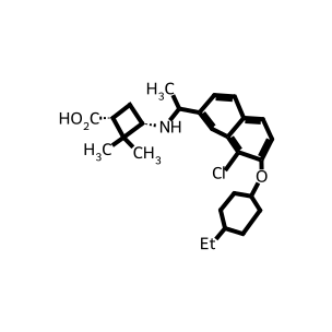 CCC1CCC(Oc2ccc3ccc(C(C)N[C@H]4C[C@@H](C(=O)O)C4(C)C)cc3c2Cl)CC1